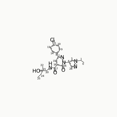 CCn1cc(-n2nc(-c3ccc(Cl)cc3)cc(C(=O)NCC(C)(O)CC)c2=O)cn1